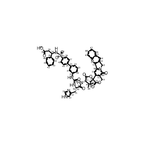 CCC1(OC(=O)[C@@H](NC(=O)[C@H](Cc2c[nH]cn2)NC(=O)Nc2cccc(-c3ccc(S(=O)(=O)NC(CC(=O)O)c4ccccc4)cc3)c2)C(C)C)C(=O)OCc2c1cc1n(c2=O)Cc2cc3ccccc3nc2-1